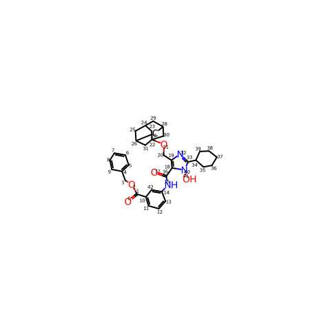 O=C(OCc1ccccc1)c1cccc(NC(=O)c2c(COC34CC5CC(CC(C5)C3)C4)nc(C3CCCCC3)n2O)c1